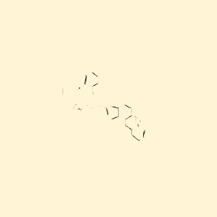 CC1(CS[C@H](CCc2ccccc2C(C)(C)O)c2cccc(/C=C\c3ccc4ccc(Cl)cc4n3)c2)CC1